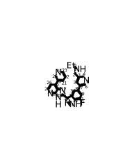 CCNCc1cncc(-c2cc(F)c3[nH]nc(-c4nc5c(-c6cccnc6)ccnc5[nH]4)c3c2)c1